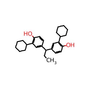 CCC(c1ccc(O)c(C2CCCCC2)c1)c1ccc(O)c(C2CCCCC2)c1